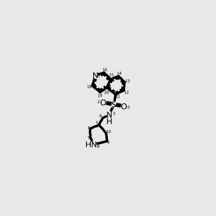 O=S(=O)(NCC1CCNCC1)c1cccc2cnccc12